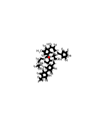 [2H]C1=C(SCc2c([2H])c([2H])c([2H])c(F)c2F)N(C([2H])([2H])C(=O)N(Cc2c([2H])c([2H])c(-c3c([2H])c([2H])c(C(F)(F)F)c([2H])c3[2H])c([2H])c2[2H])C2CCN(CC([2H])([2H])OC([2H])([2H])[2H])CC2)c2c([2H])c([2H])c(C)c([2H])c2C1O